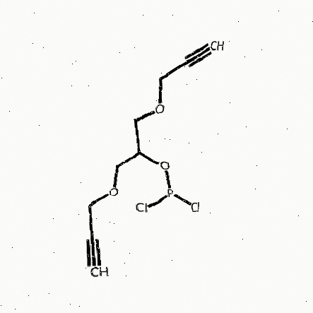 C#CCOCC(COCC#C)OP(Cl)Cl